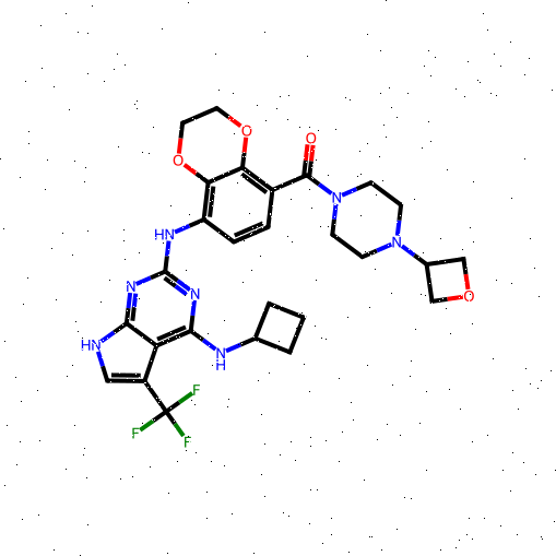 O=C(c1ccc(Nc2nc(NC3CCC3)c3c(C(F)(F)F)c[nH]c3n2)c2c1OCCO2)N1CCN(C2COC2)CC1